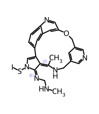 CNC/N=C1\C2=C(\C)NCc3cncc(c3)COc3cnc4ccc(cc4c3)C2=CN1SI